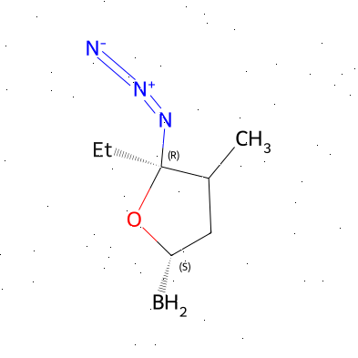 B[C@H]1CC(C)[C@](CC)(N=[N+]=[N-])O1